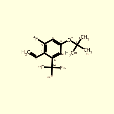 C=Cc1c(F)cc(OC(C)(C)C)cc1C(F)(F)F